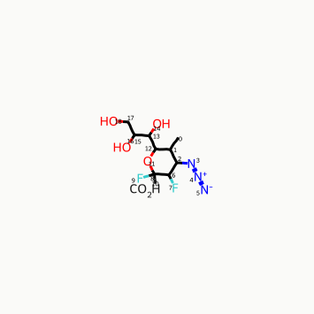 CC1C(N=[N+]=[N-])C(F)C(F)(C(=O)O)OC1C(O)C(O)CO